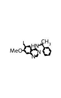 COc1cc2ncnc(N[C@H](C)c3ccccc3)c2cc1I